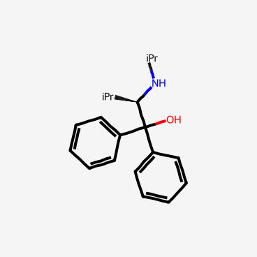 CC(C)N[C@H](C(C)C)C(O)(c1ccccc1)c1ccccc1